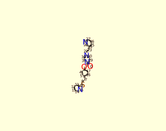 O=C(Oc1ccc(CCSc2ccccn2)cc1)N1CCN(CCc2cccnc2)CC1